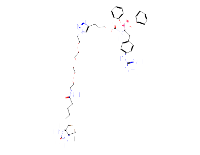 N=C(N)Nc1ccc(CC(NC(=O)OCCCc2cn(CCOCCOCCOCCNC(=O)CCCC[C@@H]3SC[C@@H]4NC(=O)N[C@@H]43)nn2)P(=O)(Oc2ccccc2)Oc2ccccc2)cc1